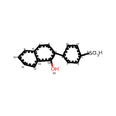 O=S(=O)(O)c1ccc(-c2ccc3ccccc3c2O)cc1